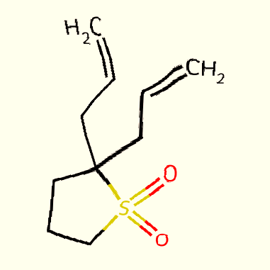 C=CCC1(CC=C)CCCS1(=O)=O